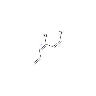 C=C/C=C(\C=C/CC)CC